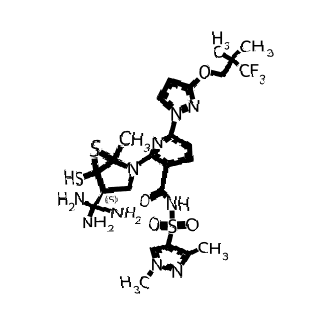 Cc1nn(C)cc1S(=O)(=O)NC(=O)c1ccc(-n2ccc(OCC(C)(C)C(F)(F)F)n2)nc1N1C[C@@H](C(N)(N)N)C2(S)SC12C